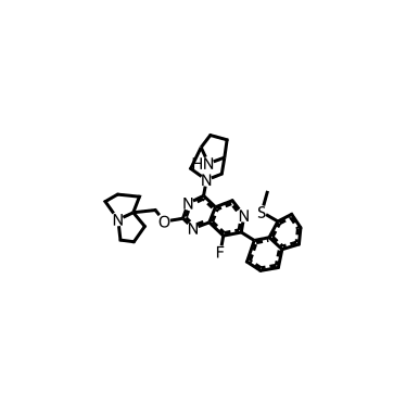 CSc1cccc2cccc(-c3ncc4c(N5CC6CCC(C5)N6)nc(OCC56CCCN5CCC6)nc4c3F)c12